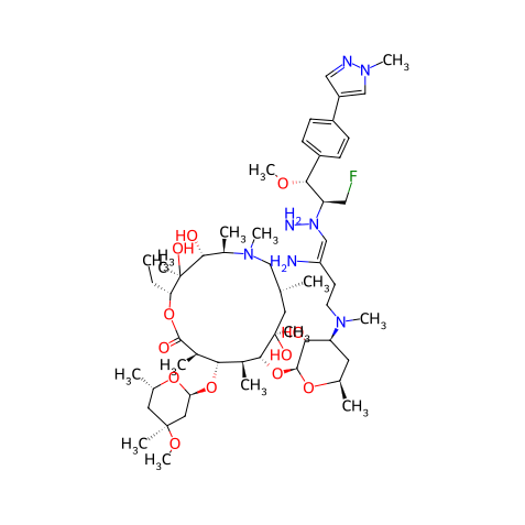 CC[C@H]1OC(=O)[C@H](C)[C@@H](O[C@H]2C[C@@](C)(OC)C[C@H](C)O2)[C@H](C)[C@@H](O[C@@H]2O[C@H](C)C[C@H](N(C)CC/C(N)=C/N(N)[C@H](CF)[C@H](OC)c3ccc(-c4cnn(C)c4)cc3)C2O)[C@](C)(O)C[C@@H](C)CN(C)[C@H](C)[C@@H](O)[C@]1(C)O